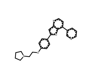 c1cncc(-c2ccnc3cc(-c4ccc(OCCN5CCCC5)cc4)oc23)c1